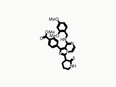 COC(=O)c1ccc(-c2nc(C3CCCNC3=S)n3ccnc(NCc4ccc(OC)cc4OC)c23)cc1